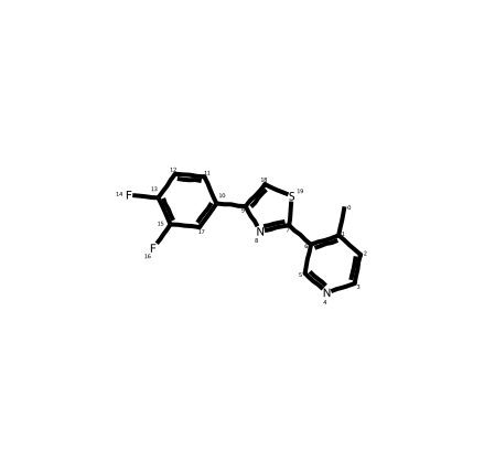 Cc1ccncc1-c1nc(-c2ccc(F)c(F)c2)cs1